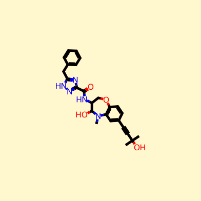 CN1c2cc(C#CC(C)(C)O)ccc2OCC(NC(=O)c2n[nH]c(Cc3ccccc3)n2)C1O